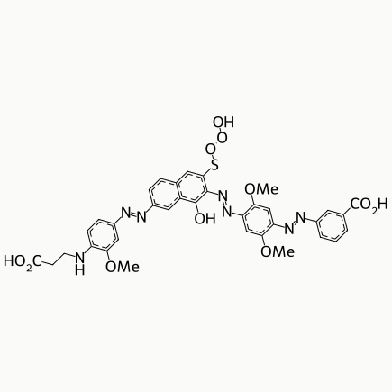 COc1cc(N=Nc2c(SOOO)cc3ccc(N=Nc4ccc(NCCC(=O)O)c(OC)c4)cc3c2O)c(OC)cc1N=Nc1cccc(C(=O)O)c1